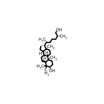 C[C@@H](CO)CCC[C@@H](C)[C@H]1CC[C@H]2[C@@H]3CC=C4C(C)(C)[C@H](O)CC[C@]4(C)[C@H]3CC[C@]12C